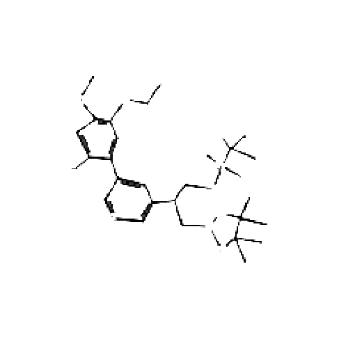 CCOc1cc(-c2cncc(C(CO[Si](C)(C)C(C)(C)C)CB3OC(C)(C)C(C)(C)O3)c2)c(F)cc1OC